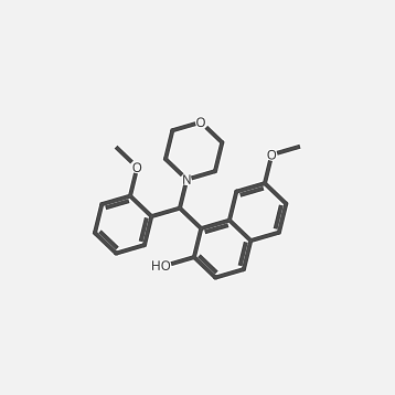 COc1ccc2ccc(O)c(C(c3ccccc3OC)N3CCOCC3)c2c1